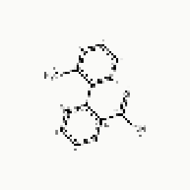 Cc1cccnc1-c1ncccc1C(=O)O